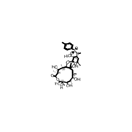 CC[C@H]1OC(=O)[C@H](C)[C@@H](O)[C@H](C)[C@@H](O[C@@H]2O[C@H](C)C[C@H](N(C)S(=O)(=O)c3ccc(C)cc3)[C@H]2O)C(C)(O)C[C@@H](C)[C@H](O)[C@H](C)[C@@H](O)[C@]1(C)O